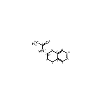 CC(=O)N[C@H]1CCc2ccccc2C1